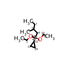 CCO[Si](CC(C)CC)(OCC)C1CC1